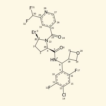 CC[C@@H]1CC[C@H](C(=O)NC(c2cc(F)c(Cl)cc2F)C2COC2)N1C(=O)c1ccnc(C(F)F)c1